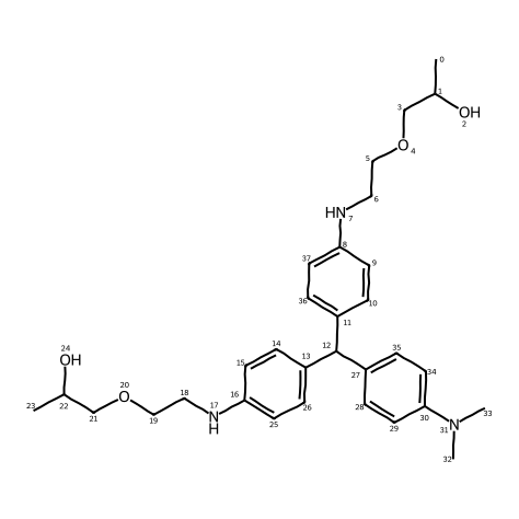 CC(O)COCCNc1ccc(C(c2ccc(NCCOCC(C)O)cc2)c2ccc(N(C)C)cc2)cc1